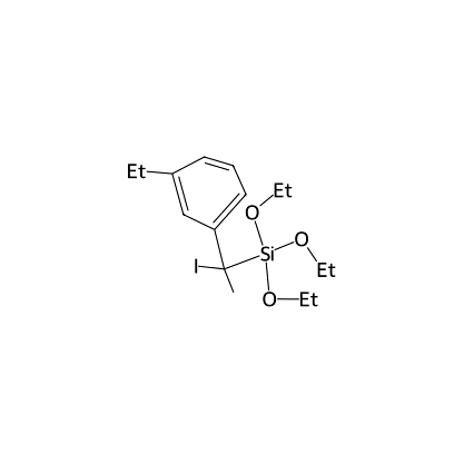 CCO[Si](OCC)(OCC)C(C)(I)c1cccc(CC)c1